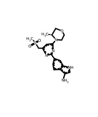 C[C@H]1COCCN1c1cc(CS(C)(=O)=O)nc(-c2ccc3c(N)c[nH]c3c2)n1